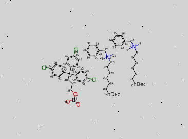 CCCCCCCCCCCCCCCC[N+](C)(C)Cc1ccccc1.CCCCCCCCCCCCCCCC[N+](C)(C)Cc1ccccc1.[O-]B([O-])OCCCC(c1ccc(Cl)cc1)(c1ccc(Cl)cc1)c1ccc(Cl)cc1